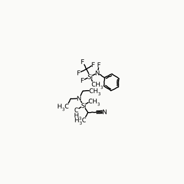 CCN(CC)[Si](C)(C)C(C)C#N.C[Si](F)(N(F)c1ccccc1)C(F)(F)F